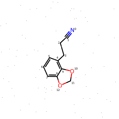 N#CCCc1cccc2c1OCO2